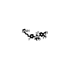 CC1(C)C(=O)N(c2cc(C(F)(F)F)c(C#N)cc2F)C(=S)N1c1ccc(CCCc2ncc[nH]2)c(F)c1